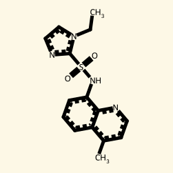 CCn1ccnc1S(=O)(=O)Nc1cccc2c(C)ccnc12